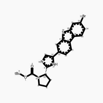 CC(C)(C)OC(=O)N1CCC[C@H]1c1ncc(-c2ccc3c(c2)sc2cc(Br)ccc23)[nH]1